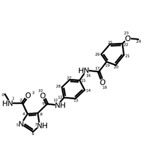 CNC(=O)c1nc[nH]c1C(=O)Nc1ccc(NC(=O)c2ccc(OC)cc2)cc1